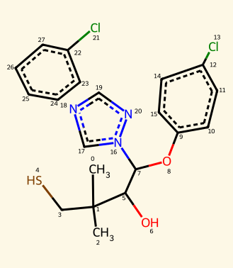 CC(C)(CS)C(O)C(Oc1ccc(Cl)cc1)n1cncn1.Clc1ccccc1